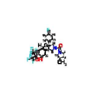 CC1CCN(C(=O)N2C[C@@H](c3ccc(C(O)(C(F)(F)F)C(F)(F)F)cc3)[C@@](C)(c3ccc(F)cc3)C2)C1